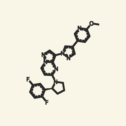 COc1ccc(-c2cnn(-c3cnn4ccc(N5CCC[C@H]5c5cc(F)ccc5F)nc34)c2)cn1